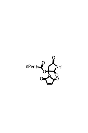 CCCCCC(=O)OC1(N2C(=O)C=CC2=O)CC(=O)NC1=O